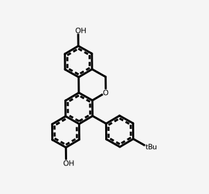 CC(C)(C)c1ccc(-c2c3c(cc4ccc(O)cc24)-c2ccc(O)cc2CO3)cc1